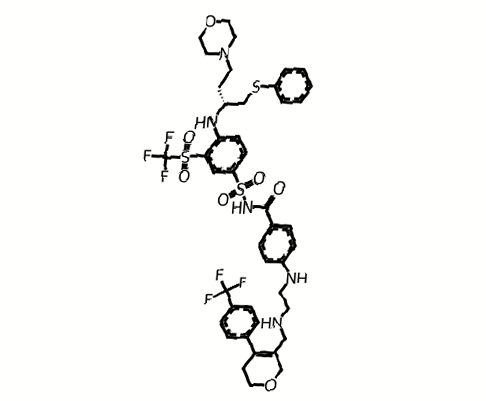 O=C(NS(=O)(=O)c1ccc(N[C@H](CCN2CCOCC2)CSc2ccccc2)c(S(=O)(=O)C(F)(F)F)c1)c1ccc(NCCNCC2=C(c3ccc(C(F)(F)F)cc3)CCOC2)cc1